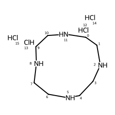 C1CNCCNCCNCCN1.Cl.Cl.Cl.Cl